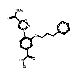 CCNC(=O)c1ccc(-n2cc(C(=O)NC)nn2)c(OCCCc2ccccc2)c1